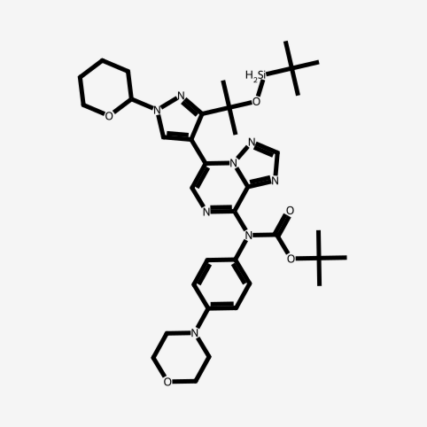 CC(C)(C)OC(=O)N(c1ccc(N2CCOCC2)cc1)c1ncc(-c2cn(C3CCCCO3)nc2C(C)(C)O[SiH2]C(C)(C)C)n2ncnc12